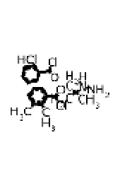 CC(C)(C)NN.Cc1cccc(C(=O)Cl)c1C.Cl.O=C(Cl)c1ccccc1